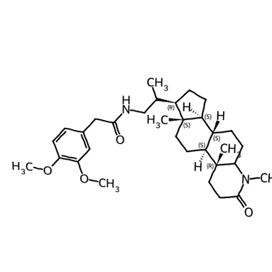 COc1ccc(CC(=O)NCC(C)[C@H]2CC[C@H]3[C@@H]4CCC5N(C)C(=O)CC[C@]5(C)[C@H]4CC[C@]23C)cc1OC